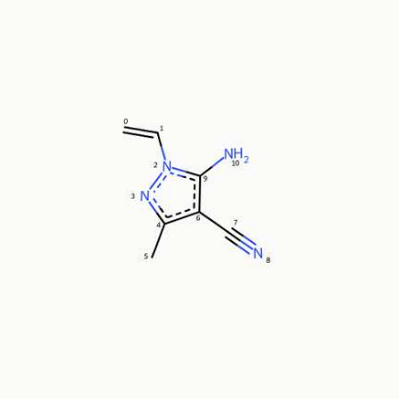 C=Cn1nc(C)c(C#N)c1N